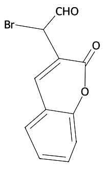 O=CC(Br)c1cc2ccccc2oc1=O